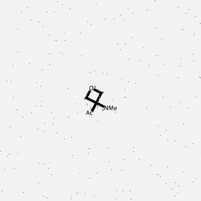 CNC1(C(C)=O)COC1